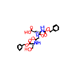 O=C(O)CC[C@H](NC(=O)OCc1ccccc1)C(=O)NCC(=O)N[C@@H](CO)C(=O)OCc1ccccc1